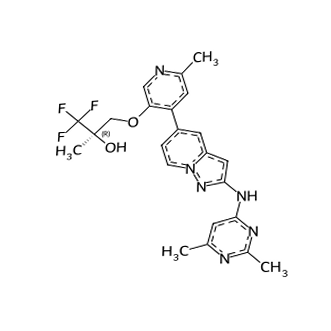 Cc1cc(-c2ccn3nc(Nc4cc(C)nc(C)n4)cc3c2)c(OC[C@@](C)(O)C(F)(F)F)cn1